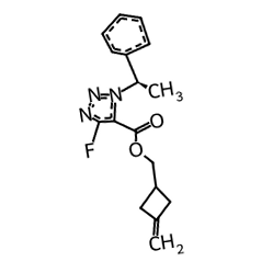 C=C1CC(COC(=O)c2c(F)nnn2[C@H](C)c2ccccc2)C1